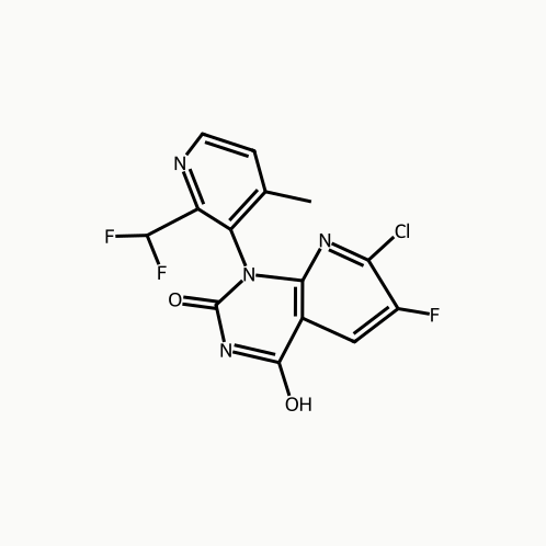 Cc1ccnc(C(F)F)c1-n1c(=O)nc(O)c2cc(F)c(Cl)nc21